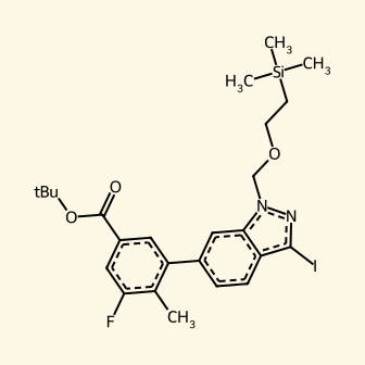 Cc1c(F)cc(C(=O)OC(C)(C)C)cc1-c1ccc2c(I)nn(COCC[Si](C)(C)C)c2c1